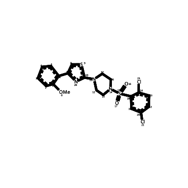 COc1ccccc1-c1csc(N2CCN(S(=O)(=O)c3cc(Cl)ccc3Cl)CC2)n1